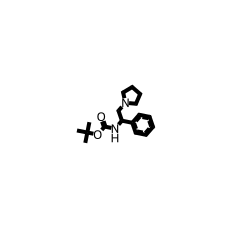 CC(C)(C)OC(=O)NC(CN1CCCC1)c1ccccc1